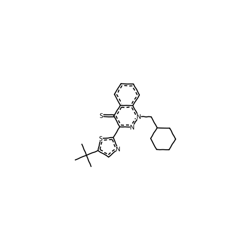 CC(C)(C)c1cnc(-c2nn(CC3CCCCC3)c3ccccc3c2=S)s1